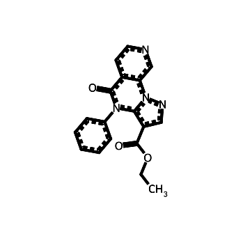 CCOC(=O)c1cnn2c3cnccc3c(=O)n(-c3ccccc3)c12